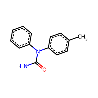 Cc1ccc(N(C([NH])=O)c2ccccc2)cc1